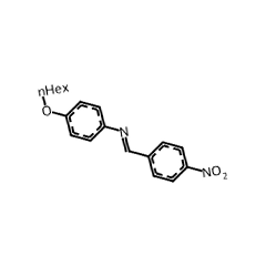 CCCCCCOc1ccc(N=Cc2ccc([N+](=O)[O-])cc2)cc1